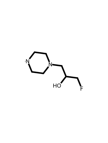 OC(CF)CN1CC[N]CC1